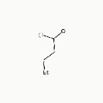 CCCCC([O])Cl